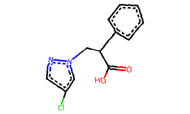 O=C(O)C(Cn1cc(Cl)cn1)c1ccccc1